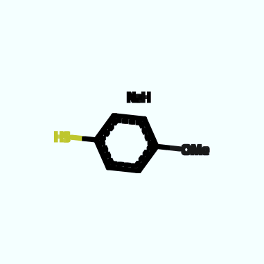 COc1ccc(S)cc1.[NaH]